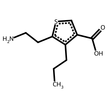 CCCc1c(C(=O)O)csc1CCN